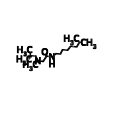 CC(C)CCCCCCNC(=O)CN(C)CC(C)C